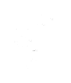 NC(=O)NCCC[C@H](NC(=O)[C@@H](N)CC(=O)O)C(=O)O